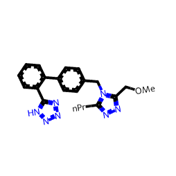 CCCc1nnc(COC)n1Cc1ccc(-c2ccccc2-c2nnn[nH]2)cc1